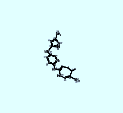 CC1CC=C(Nc2nnc(Nc3nc(N)n[nH]3)nn2)NN=C1N